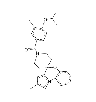 Cc1cc2n(c1)-c1ccccc1OC21CCN(C(=O)c2ccc(OC(C)C)c(C)c2)CC1